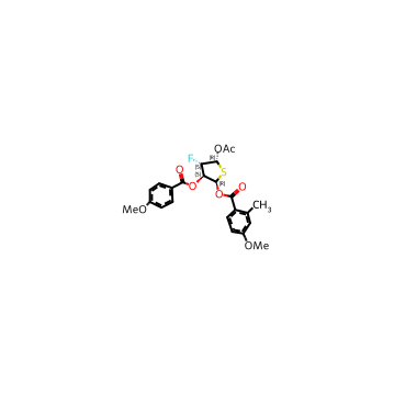 COc1ccc(C(=O)O[C@H]2[C@H](F)[C@H](OC(C)=O)S[C@H]2OC(=O)c2ccc(OC)cc2C)cc1